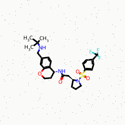 CC(C)(C)NCc1ccc2c(c1)OCC[C@H]2NC(=O)C[C@@H]1CCCN1S(=O)(=O)c1ccc(C(F)(F)F)cc1